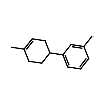 [CH2]c1cccc(C2CC=C(C)CC2)c1